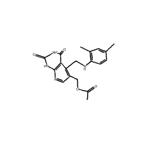 CC(=O)OCc1cnc2[nH]c(=O)[nH]c(=O)c2c1CNc1ccc(C)cc1C